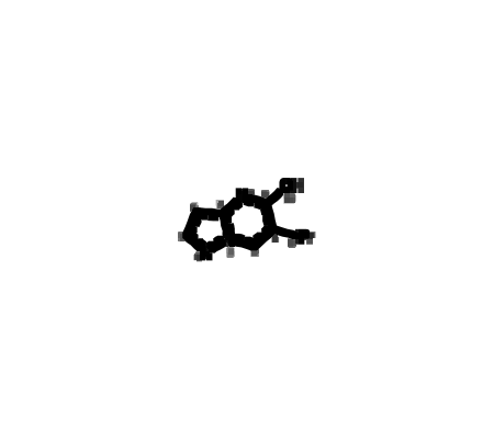 CC(C)c1cn2nccc2nc1O